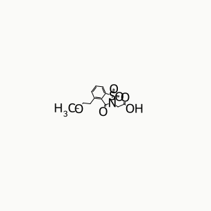 COCCc1cccc2c1C(=O)N(CC(=O)O)S2(=O)=O